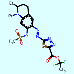 CCC1CCc2cc(N=Nc3nnc(C(=O)OC(F)(F)C(F)(F)F)s3)c(NS(=O)(=O)C(F)(F)F)cc2N1C(C)C